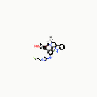 C[C@@H]1Cc2c([nH]c3ccccc23)[C@H]2c3c(F)cc(NC4CN(CCCF)C4)cc3C3C4CC3[C@@H](C[C@@H]4CO)N21